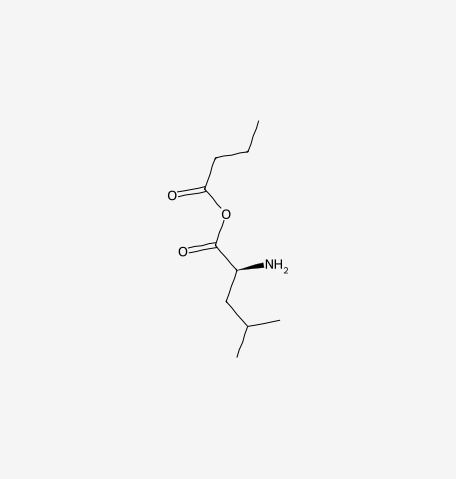 CCCC(=O)OC(=O)[C@@H](N)CC(C)C